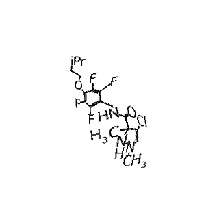 CC(C)CCOc1c(F)c(F)c(CNC(=O)C2(C)NN(C)C=C2Cl)c(F)c1F